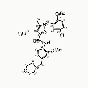 COc1cc(CN2CCOCC2)ccc1NC(=O)c1cc(C)n(Cc2cc(Cl)ccc2OCC(C)C)n1.Cl